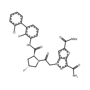 CNC(=O)c1cc2c(s1)c(C(N)=O)nn2CC(=O)N1C[C@H](F)C[C@H]1C(=O)Nc1cccc(-c2ccccc2Cl)c1F